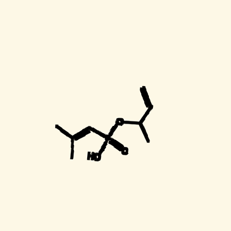 C=CC(C)OP(=O)(O)C=C(C)C